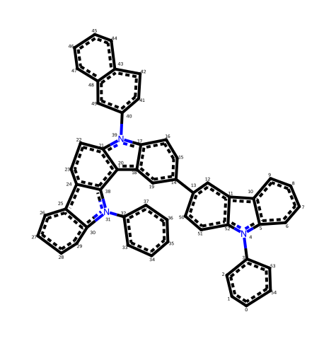 c1ccc(-n2c3ccccc3c3cc(-c4ccc5c(c4)c4c(ccc6c7ccccc7n(-c7ccccc7)c64)n5-c4ccc5ccccc5c4)ccc32)cc1